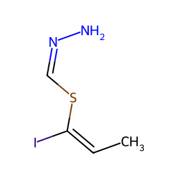 C/C=C(/I)S/C=N\N